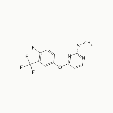 CSc1nccc(Oc2ccc(F)c(C(F)(F)F)c2)n1